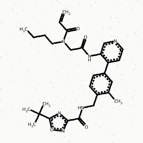 C=CC(=O)N(CCCC)CC(=O)Nc1cnccc1-c1ccc(CNC(=O)c2noc(C(C)(C)C)n2)c(C)c1